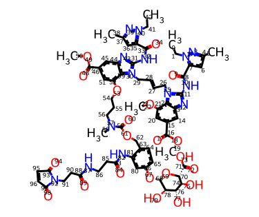 CCn1nc(C)cc1C(=O)Nc1nc2cc(C(=O)OC)cc(OC)c2n1C/C=C/Cn1c(NC(=O)c2cc(C)nn2CC)nc2cc(C(=O)OC)cc(OCCCN(C)C(=O)OCc3ccc(O[C@@H]4O[C@H](C(=O)O)[C@@H](O)[C@H](O)[C@H]4O)cc3NC(=O)CCNC(=O)CCN3C(=O)C=CC3=O)c21